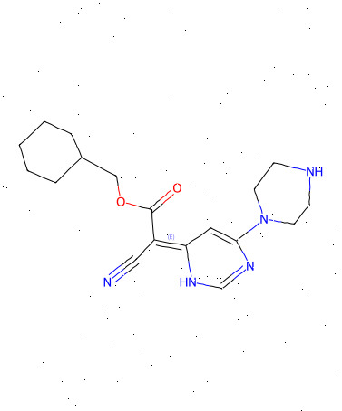 N#C/C(C(=O)OCC1CCCCC1)=C1/C=C(N2CCNCC2)N=CN1